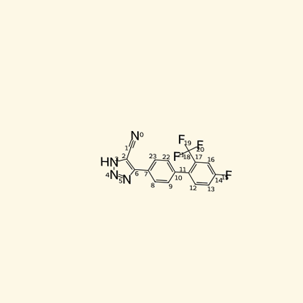 N#Cc1[nH]nnc1-c1ccc(-c2ccc(F)cc2C(F)(F)F)cc1